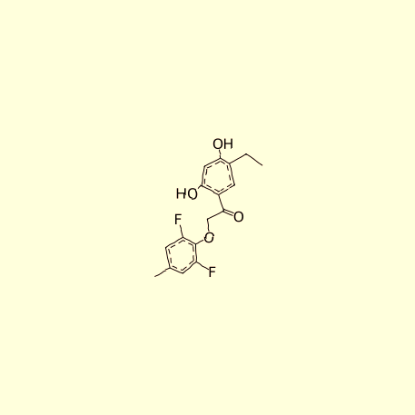 CCc1cc(C(=O)COc2c(F)cc(C)cc2F)c(O)cc1O